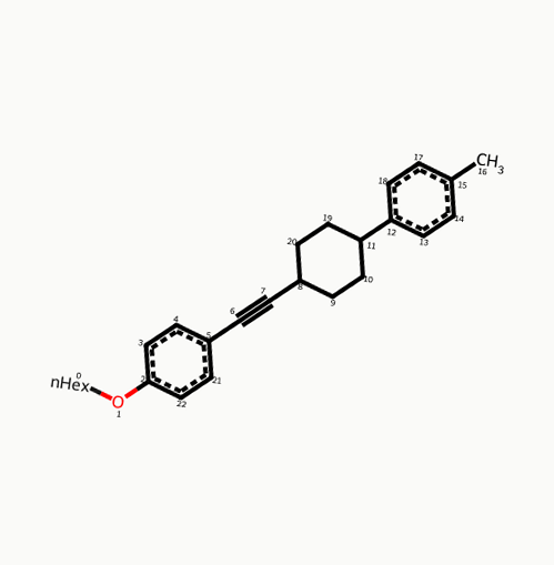 CCCCCCOc1ccc(C#CC2CCC(c3ccc(C)cc3)CC2)cc1